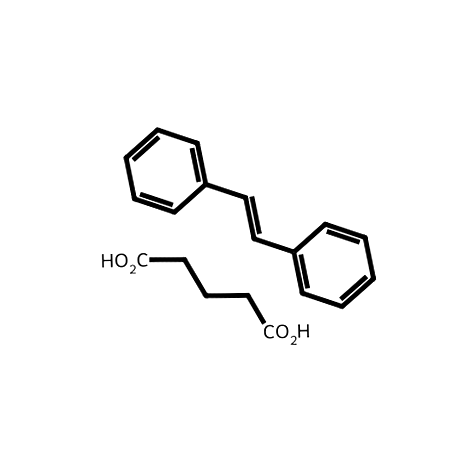 C(=Cc1ccccc1)c1ccccc1.O=C(O)CCCC(=O)O